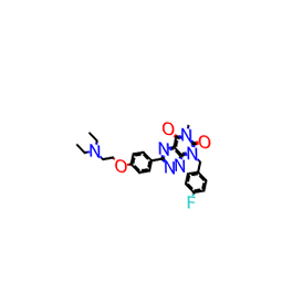 CCN(CC)CCOc1ccc(-c2nnc3c(n2)c(=O)n(C)c(=O)n3Cc2ccc(F)cc2)cc1